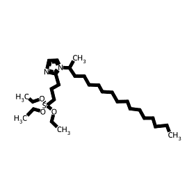 CCCCCCCCCCCCCCCC(C)n1ccnc1CCC[Si](OCC)(OCC)OCC